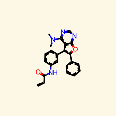 C=CC(=O)Nc1cccc(-c2c(-c3ccccc3)oc3ncnc(N(C)C)c23)c1